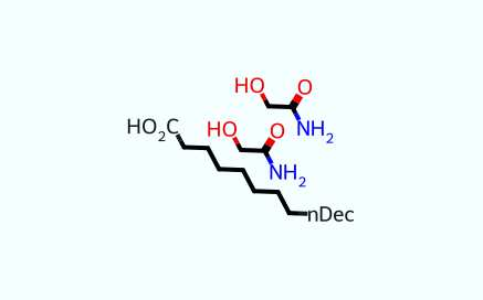 CCCCCCCCCCCCCCCCCC(=O)O.NC(=O)CO.NC(=O)CO